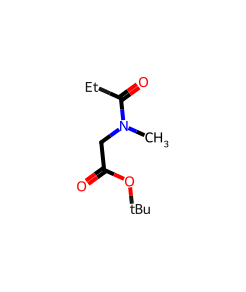 CCC(=O)N(C)CC(=O)OC(C)(C)C